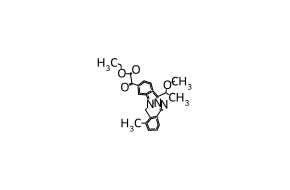 CCOC(=O)C(=O)c1ccc2c(C(C)OC)nn(Cc3c(C)cccc3C#N)c2c1